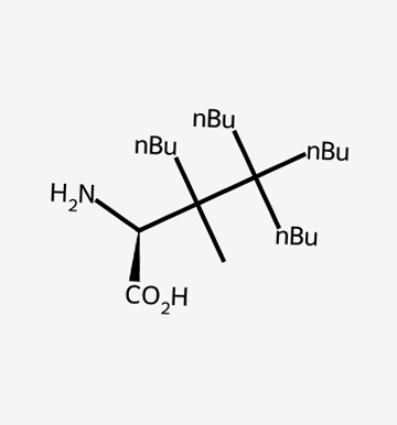 CCCCC(CCCC)(CCCC)C(C)(CCCC)[C@H](N)C(=O)O